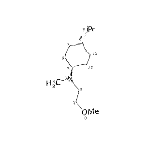 COCCN(C)[C@H]1CC[C@H](C(C)C)CC1